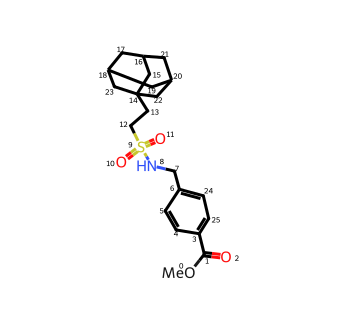 COC(=O)c1ccc(CNS(=O)(=O)CCC23CC4CC(CC(C4)C2)C3)cc1